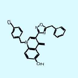 C=C1C(c2noc(Cc3ccccc3)n2)=CN(Cc2ccc(Cl)cc2)c2ccc(O)cc21